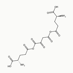 N[C@@H](CCC(=O)OC(=O)CC(=O)C(=O)OC(=O)CC[C@H](N)C(=O)O)C(=O)O